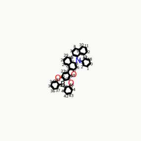 c1ccc(N(c2cccc3ccccc23)c2cc3oc4c5c6c(cc4c3c3ccccc23)Oc2ccccc2B6c2ccccc2O5)cc1